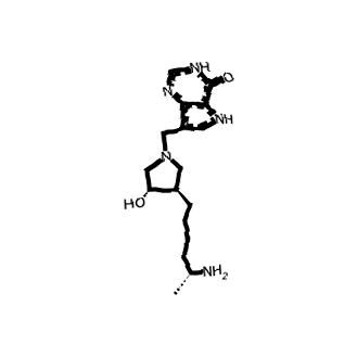 C[C@@H](N)CCCC[C@@H]1CN(Cc2c[nH]c3c(=O)[nH]cnc23)C[C@H]1O